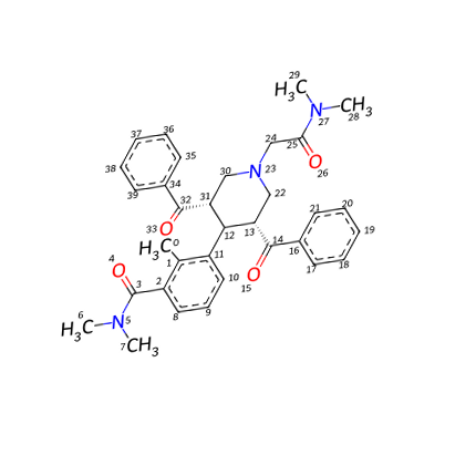 Cc1c(C(=O)N(C)C)cccc1C1[C@@H](C(=O)c2ccccc2)CN(CC(=O)N(C)C)C[C@H]1C(=O)c1ccccc1